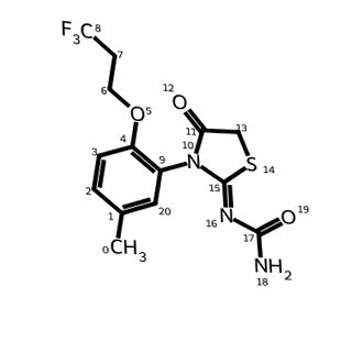 Cc1ccc(OCCC(F)(F)F)c(N2C(=O)CSC2=NC(N)=O)c1